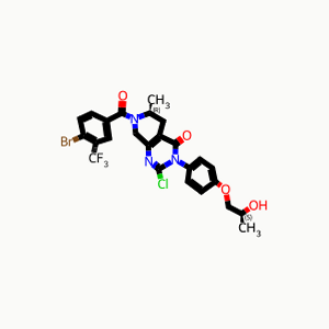 C[C@H](O)COc1ccc(-n2c(Cl)nc3c(c2=O)C[C@@H](C)N(C(=O)c2ccc(Br)c(C(F)(F)F)c2)C3)cc1